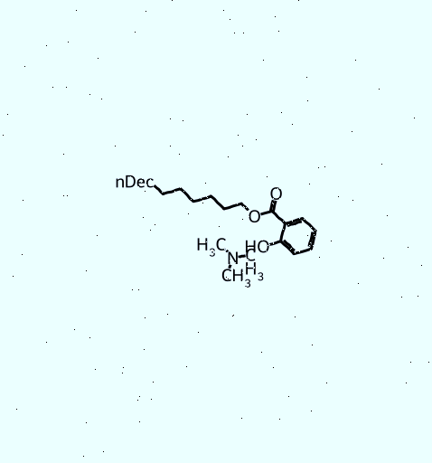 CCCCCCCCCCCCCCCCOC(=O)c1ccccc1O.CN(C)C